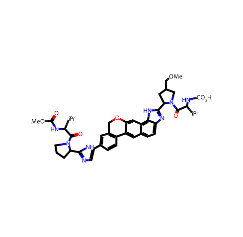 COCC1CC(c2nc3ccc4cc5c(cc4c3[nH]2)OCc2cc(-c3cnc(C4CCCN4C(=O)C(NC(=O)OC)C(C)C)[nH]3)ccc2-5)N(C(=O)C(NC(=O)O)C(C)C)C1